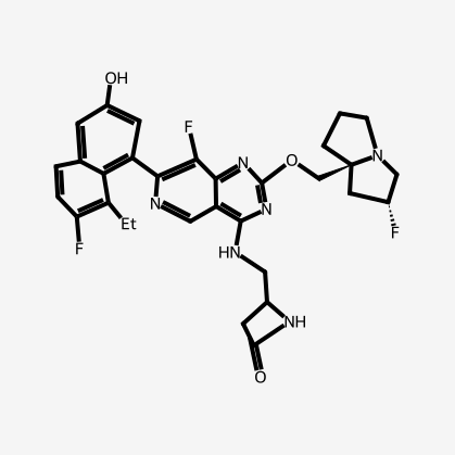 CCc1c(F)ccc2cc(O)cc(-c3ncc4c(NCC5CC(=O)N5)nc(OC[C@@]56CCCN5C[C@H](F)C6)nc4c3F)c12